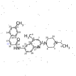 CCN1CCN(c2cc(C)c3cc(NC(=O)/C=C\c4ccc(C)cc4)ccc3n2)CC1